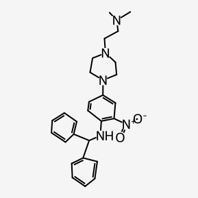 CN(C)CCN1CCN(c2ccc(NC(c3ccccc3)c3ccccc3)c([N+](=O)[O-])c2)CC1